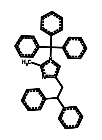 Cc1nc(CC(c2ccccc2)c2ccccc2)cn1C(c1ccccc1)(c1ccccc1)c1ccccc1